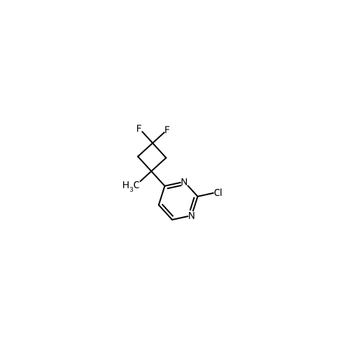 CC1(c2ccnc(Cl)n2)CC(F)(F)C1